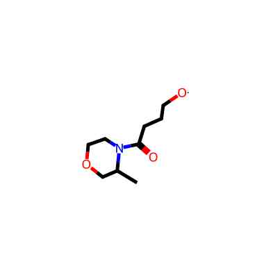 CC1COCCN1C(=O)CCC[O]